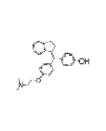 CN(C)CCOc1ccc(C(=C2CCc3ccccc32)c2ccc(O)cc2)cc1